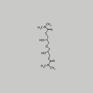 CN(C)C(=S)SCC(O)COCC(O)CSC(=S)N(C)C